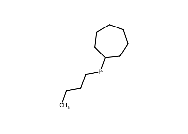 CCCC[P]C1CCCCCC1